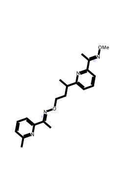 CO/N=C(\C)c1cccc(C(C)CCO/N=C(\C)c2cccc(C)n2)n1